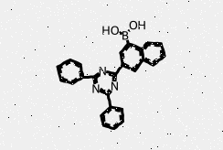 OB(O)c1cc(-c2nc(-c3ccccc3)nc(-c3ccccc3)n2)cc2ccccc12